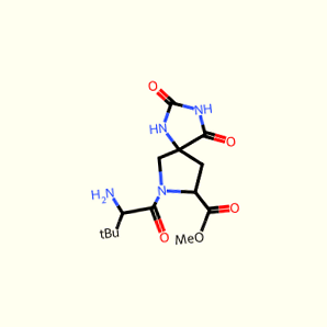 COC(=O)C1CC2(CN1C(=O)C(N)C(C)(C)C)NC(=O)NC2=O